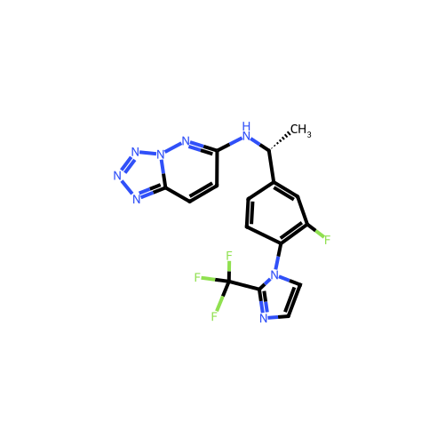 C[C@@H](Nc1ccc2nnnn2n1)c1ccc(-n2ccnc2C(F)(F)F)c(F)c1